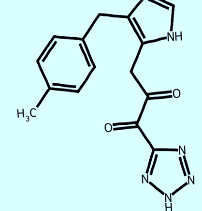 Cc1ccc(Cc2cc[nH]c2CC(=O)C(=O)c2nn[nH]n2)cc1